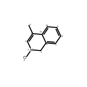 CC1=CN(Cl)Cc2ccccc21